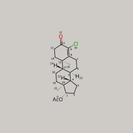 CC(=O)O[C@H]1CC[C@H]2[C@@H]3CCC4=C(Cl)C(=O)CC[C@]4(C)[C@H]3CC[C@]12C